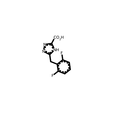 O=C(O)c1nnc(Cc2c(F)cccc2F)[nH]1